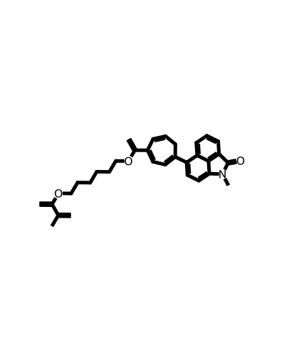 C=C(C)C(=C)OCCCCCCOC(=C)C1=CC=C(c2ccc3c4c(cccc24)C(=O)N3C)CC=C1